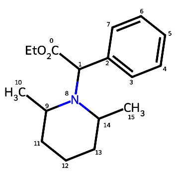 CCOC(=O)C(c1ccccc1)N1C(C)CCCC1C